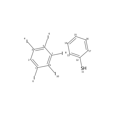 Ic1cc(I)c(I)c(I)c1I.Sc1ccccc1